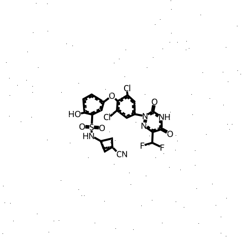 N#CC12CC(NS(=O)(=O)c3cc(Oc4c(Cl)cc(-n5nc(C(F)F)c(=O)[nH]c5=O)cc4Cl)ccc3O)(C1)C2